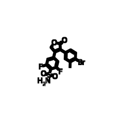 Cc1cc(C2=C(c3cc(F)c(S(N)(=O)=O)c(F)c3)COC2=O)ccc1Br